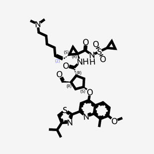 COc1ccc2c(O[C@H]3C[C@@H](C=O)[C@H](C(=O)N[C@]4(C(=O)NS(=O)(=O)C5CC5)C[C@H]4/C=C\CCCCN(C)C)C3)cc(-c3nc(C(C)C)cs3)nc2c1C